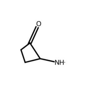 [NH]C1CCC1=O